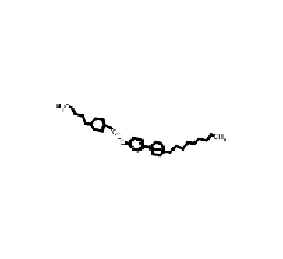 CCCCCCCCCC12CCC(c3ccc(OCCCC4CCC(CCCCC)CC4)cc3)(CC1)CC2